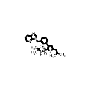 CC(C)Cc1cc(-c2cccc(Cn3cnc4cccnc43)c2)c(S(=O)(=O)NC(C)(C)C)s1